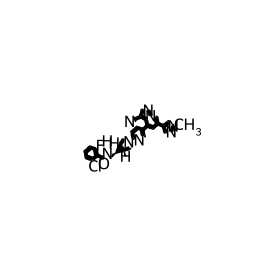 Cn1cc(-c2cc(-c3ccc(N4C[C@@H]5[C@@H](CNC(=O)c6c(F)cccc6Cl)[C@@H]5C4)nc3)c3c(C#N)cnn3c2)cn1